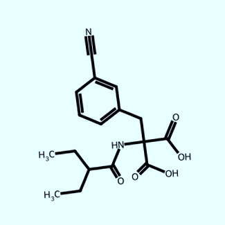 CCC(CC)C(=O)NC(Cc1cccc(C#N)c1)(C(=O)O)C(=O)O